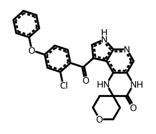 O=C(c1ccc(Oc2ccccc2)cc1Cl)c1c[nH]c2ncc3c(c12)NC1(CCOCC1)C(=O)N3